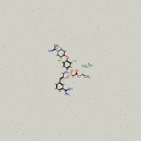 CCOC(=O)CS(=O)(=O)N(C/C=C/c1cccc(C(=N)N)c1)c1cc(F)c(OC2CCN(C(C)=N)CC2)c(F)c1.Cl.Cl